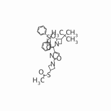 CC(=O)SC1CN(c2nc(C(=O)N3CC(C(C)(C)C)C3O[SiH](c3ccccc3)c3ccccc3)co2)C1